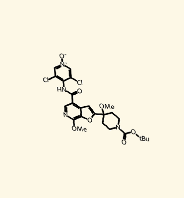 COc1ncc(C(=O)Nc2c(Cl)c[n+]([O-])cc2Cl)c2cc(C3(OC)CCN(C(=O)OC(C)(C)C)CC3)oc12